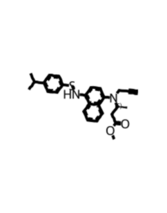 C#CCN(c1ccc(NSc2ccc(C(C)C)cc2)c2ccccc12)[C@@H](C)CC(=O)OC